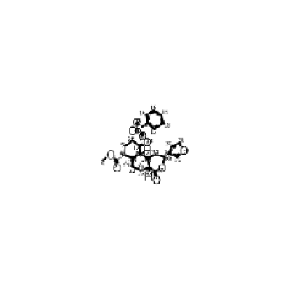 COC(=O)[C@@H]1C[C@H](OS(=O)(=O)c2ccccc2)C(=O)[C@H]2[C@@]1(C)CC[C@H]1C(=O)O[C@@H](c3ccoc3)C[C@]21C